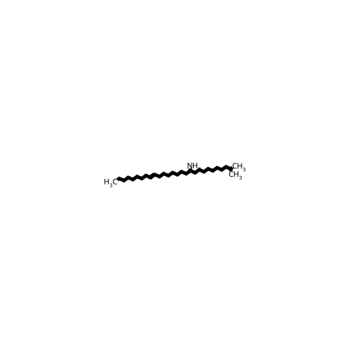 CCCCCCCCC=CCCCCCCCC(N)CCCCCCCCC(C)C